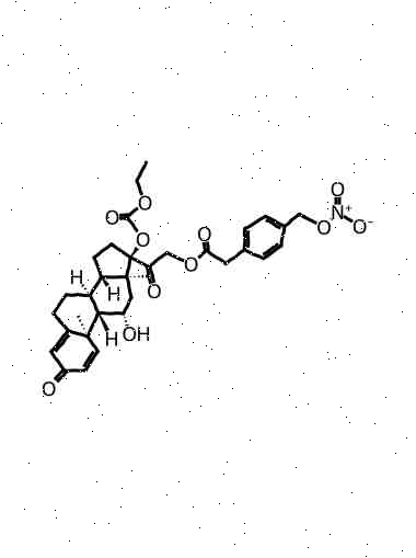 CCOC(=O)O[C@]1(C(=O)COC(=O)Cc2ccc(CO[N+](=O)[O-])cc2)CC[C@H]2[C@@H]3CCC4=CC(=O)C=C[C@]4(C)[C@H]3[C@@H](O)C[C@@]21C